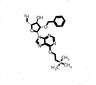 [2H]C[C@H]1O[C@@H](n2cnc3c(OCC[Si](C)(C)C)ncnc32)[C@@H](OCc2ccccc2)[C@@H]1O